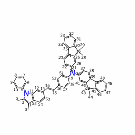 Cc1c(C)n(-c2ccccc2)c2cc(/C=C/c3ccc(N(c4ccc5c(c4)C(C)(C)c4ccccc4-5)c4ccc5c(c4)C(C)(C)c4ccccc4-5)cc3)ccc12